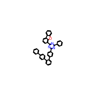 c1ccc(-c2ccc(-c3ccccc3-c3ccc(-c4nc(-c5ccccc5)nc(-c5cccc6c5oc5ccccc56)n4)cc3)cc2)cc1